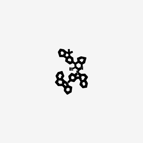 CC[C@@H]1C(n2c3ccc(-n4c5ccccc5c5ccc6ccccc6c54)cc3c3c4ccccc4ccc32)=Nc2ccccc2C1c1ccc2c(c1)C(C)(C)c1ccccc1-2